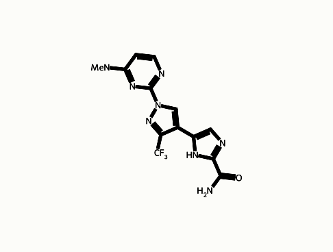 CNc1ccnc(-n2cc(-c3cnc(C(N)=O)[nH]3)c(C(F)(F)F)n2)n1